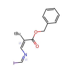 CC(C)(C)/C(=C/N=C\I)C(=O)OCc1ccccc1